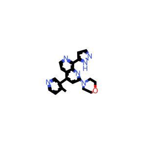 Cc1ccncc1-c1cc(N2CCOCC2)nc2c(-c3ccn[nH]3)nccc12